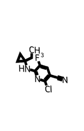 CCC1(Nc2nc(Cl)c(C#N)cc2F)CC1